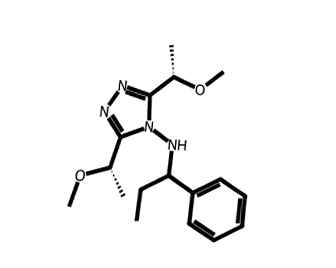 CCC(Nn1c([C@H](C)OC)nnc1[C@H](C)OC)c1ccccc1